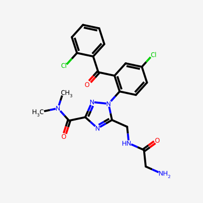 CN(C)C(=O)c1nc(CNC(=O)CN)n(-c2ccc(Cl)cc2C(=O)c2ccccc2Cl)n1